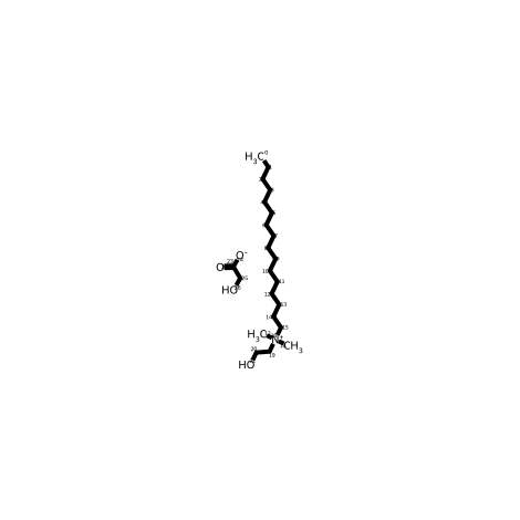 CCCCCCCCCCCCCCCC[N+](C)(C)CCO.O=C([O-])CO